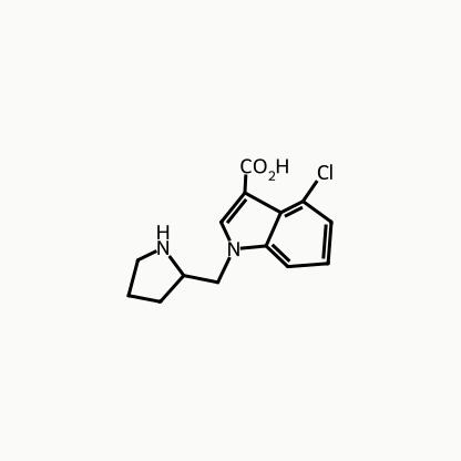 O=C(O)c1cn(CC2CCCN2)c2cccc(Cl)c12